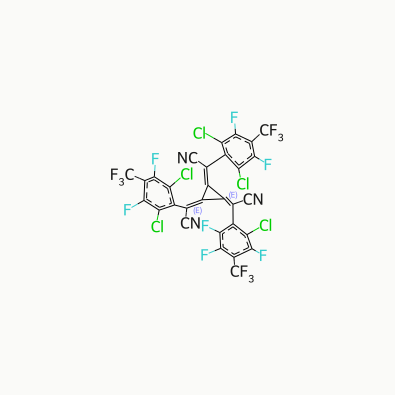 N#CC(=C1C(=C(\C#N)c2c(F)c(F)c(C(F)(F)F)c(F)c2Cl)/C1=C(\C#N)c1c(Cl)c(F)c(C(F)(F)F)c(F)c1Cl)c1c(Cl)c(F)c(C(F)(F)F)c(F)c1Cl